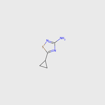 Nc1nsc(C2CC2)n1